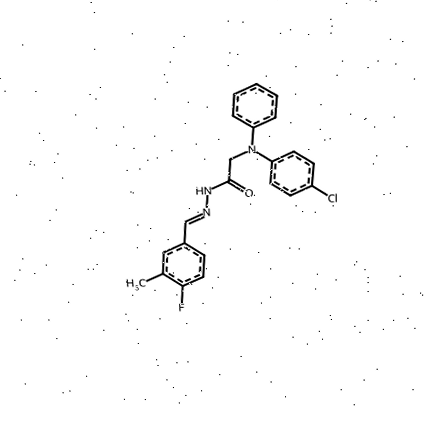 Cc1cc(C=NNC(=O)CN(c2ccccc2)c2ccc(Cl)cc2)ccc1F